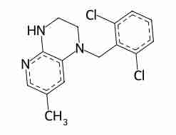 Cc1cnc2c(c1)N(Cc1c(Cl)cccc1Cl)CCN2